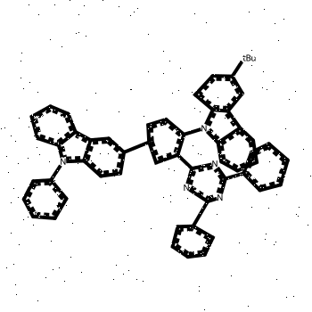 CC(C)(C)c1ccc2c(c1)c1ccccc1n2-c1ccc(-c2ccc3c(c2)c2ccccc2n3-c2ccccc2)cc1-c1nc(-c2ccccc2)nc(-c2ccccc2)n1